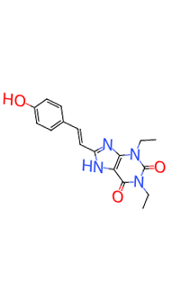 CCn1c(=O)c2[nH]c(C=Cc3ccc(O)cc3)nc2n(CC)c1=O